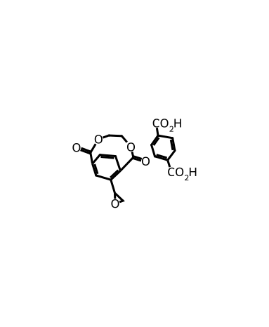 O=C(O)c1ccc(C(=O)O)cc1.O=C1OCCOC(=O)c2ccc1cc2C1CO1